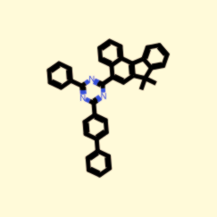 CC1(C)c2ccccc2-c2c1cc(-c1nc(-c3ccccc3)nc(-c3ccc(-c4ccccc4)cc3)n1)c1ccccc21